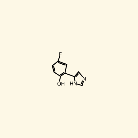 Oc1ccc(F)cc1-c1cnc[nH]1